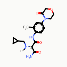 CCN(CC1CC1)[C@@H](C(N)=O)C(=O)Nc1ccc(N2CCOCC2=O)cc1C(F)(F)F